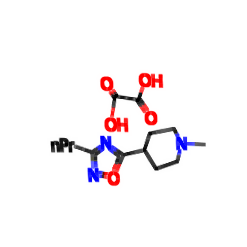 CCCc1noc(C2CCN(C)CC2)n1.O=C(O)C(=O)O